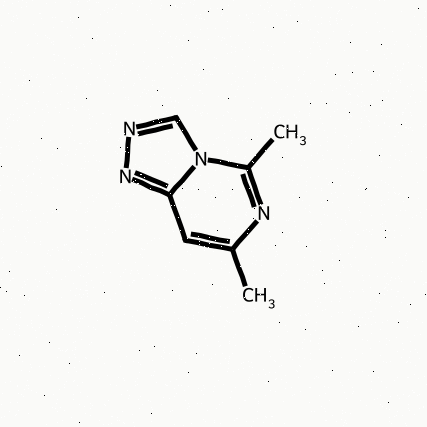 Cc1cc2nncn2c(C)n1